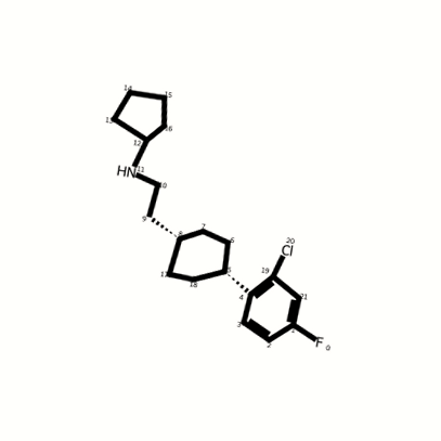 Fc1ccc([C@H]2CC[C@@H](CCNC3CCCC3)CC2)c(Cl)c1